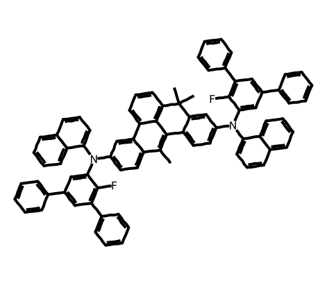 Cc1c2c3c(cccc3c3cc(N(c4cc(-c5ccccc5)cc(-c5ccccc5)c4F)c4cccc5ccccc45)ccc13)C(C)(C)c1cc(N(c3cc(-c4ccccc4)cc(-c4ccccc4)c3F)c3cccc4ccccc34)ccc1-2